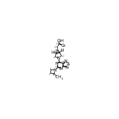 C[C@H]1CCN1c1nc(N2C[C@@H]3[C@@H](CC(=O)O)[C@@H]3C2)c2nsnc2n1